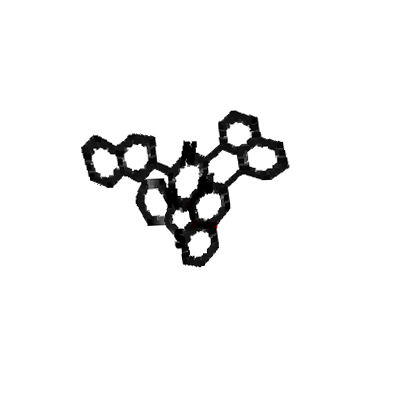 c1ccc(-c2nc(-c3ccc4ccccc4c3)nc(-c3cccc4cccc(-c5ccc6sc7ccccc7c6c5)c34)n2)cc1